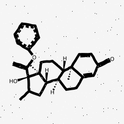 C=C(Oc1ccccc1)[C@@]1(O)C(C)C[C@H]2[C@@H]3CCC4=CC(=O)C=C[C@]4(C)[C@H]3CC[C@@]21C